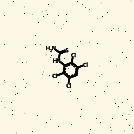 NC(=S)Nc1c(Cl)c(Cl)cc(Cl)c1Cl